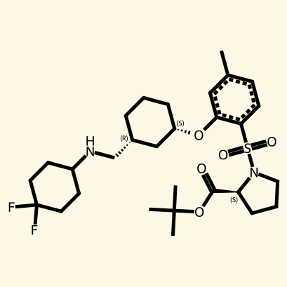 Cc1ccc(S(=O)(=O)N2CCC[C@H]2C(=O)OC(C)(C)C)c(O[C@H]2CCC[C@@H](CNC3CCC(F)(F)CC3)C2)c1